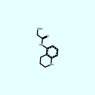 COCC(=O)Nc1cccc2c1CCCN2